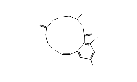 CC1CCCC(=O)CCC/C=C\c2cc(O)cc(O)c2C(=O)O1